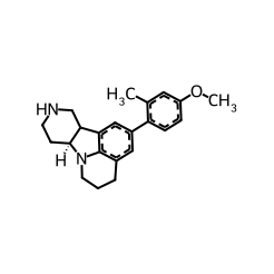 COc1ccc(-c2cc3c4c(c2)C2CNCC[C@@H]2N4CCC3)c(C)c1